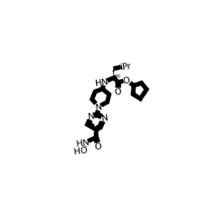 CC(C)C[C@@H](NC1CCN(c2ncc(C(=O)NO)cn2)CC1)C(=O)OC1CCCC1